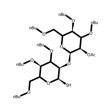 CCCCOCC1O[C@H](O[C@@H]2C(OCCCC)[C@H](OCCCC)C(COCCCC)O[C@@H]2S)[C@H](OC(C)=O)C(OCCCC)[C@@H]1OCCCC